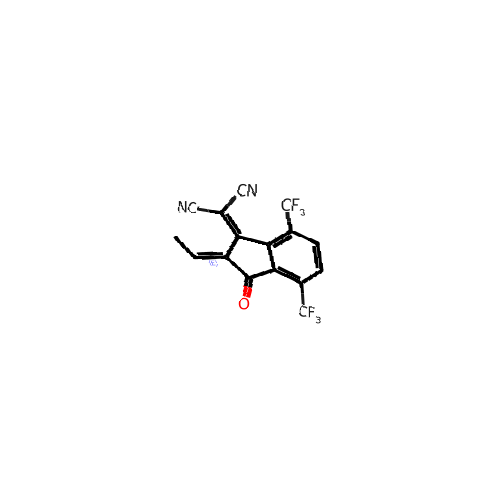 C/C=C1/C(=O)c2c(C(F)(F)F)ccc(C(F)(F)F)c2C1=C(C#N)C#N